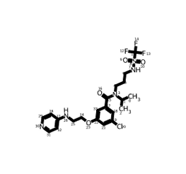 CC(C)N(CCCNS(=O)(=O)C(F)(F)F)C(=O)c1cc(Cl)cc(OCCNc2ccncc2)c1